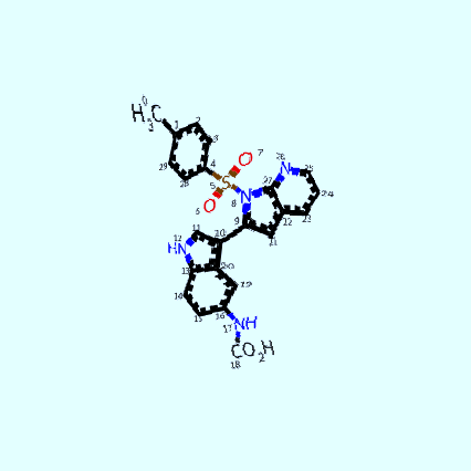 Cc1ccc(S(=O)(=O)n2c(-c3c[nH]c4ccc(NC(=O)O)cc34)cc3cccnc32)cc1